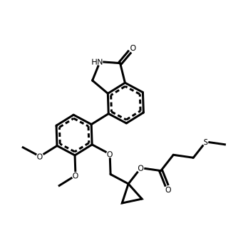 COc1ccc(-c2cccc3c2CNC3=O)c(OCC2(OC(=O)CCSC)CC2)c1OC